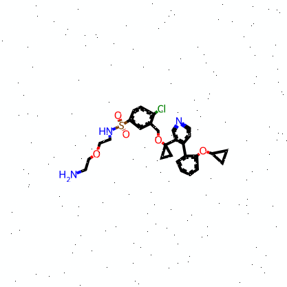 NCCOCCNS(=O)(=O)c1ccc(Cl)c(COC2(c3cnccc3-c3ccccc3OC3CC3)CC2)c1